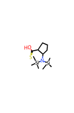 C[Si](C)(C)N(C1CCCC1C(O)=S)[Si](C)(C)C